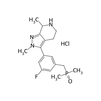 CC1NCCc2c1nn(C)c2-c1cc(F)cc(CP(C)(C)=O)c1.Cl